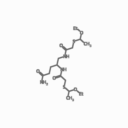 CCOC(C)SCC(=O)NCC(CCC(N)=O)NC(=O)CSC(C)OCC